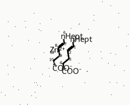 CCCCCCCC=CCCC(=O)[O-].CCCCCCCC=CCCC(=O)[O-].[Zn+2]